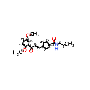 CCCNC(=O)c1ccc(C=CC(=O)c2cc(OC)ccc2OC)cc1